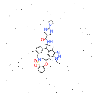 CC[C@@H]1CN(Cc2cc(C(c3ccc4c(nnn4CC)c3C)C(C)(C)NC(=O)c3cnc(N4CCC4)nc3)ccc2C)S(=O)(=O)c2ccccc2O1